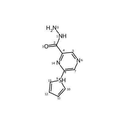 NNC(=O)c1cncc([SH]2C=CC=C2)n1